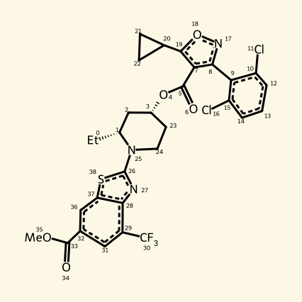 CC[C@@H]1C[C@H](OC(=O)c2c(-c3c(Cl)cccc3Cl)noc2C2CC2)CCN1c1nc2c(C(F)(F)F)cc(C(=O)OC)cc2s1